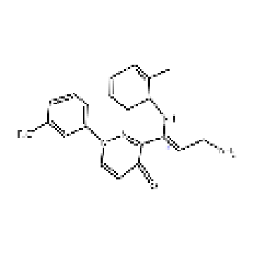 CC1=CC=CCC1N/C(=C\CN)c1nn(-c2cccc(C(F)(F)F)c2)ccc1=O